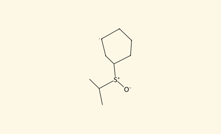 CC(C)[S+]([O-])C1C[CH]CCC1